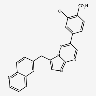 O=C(O)c1ccc(-c2cnc3ncc(Cc4ccc5ncccc5c4)n3n2)cc1Cl